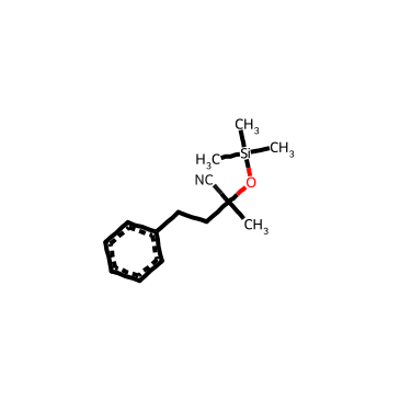 CC(C#N)(CCc1ccccc1)O[Si](C)(C)C